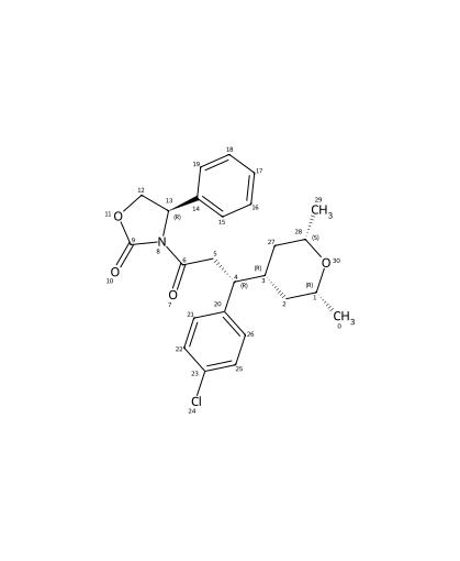 C[C@@H]1C[C@H]([C@@H](CC(=O)N2C(=O)OC[C@H]2c2ccccc2)c2ccc(Cl)cc2)C[C@H](C)O1